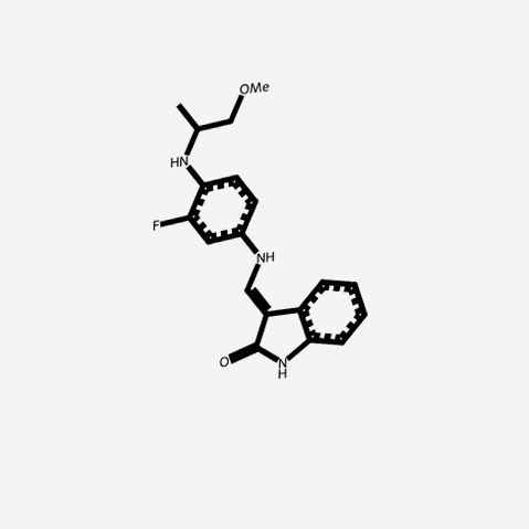 COCC(C)Nc1ccc(N/C=C2/C(=O)Nc3ccccc32)cc1F